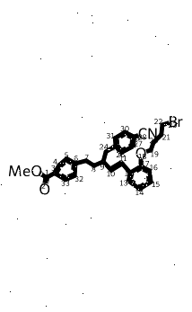 COC(=O)c1ccc(CCC(C=Cc2ccccc2OCCCCBr)Cc2ccc(C#N)cc2)cc1